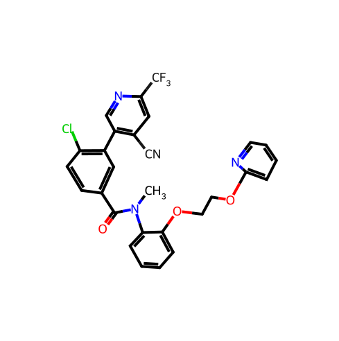 CN(C(=O)c1ccc(Cl)c(-c2cnc(C(F)(F)F)cc2C#N)c1)c1ccccc1OCCOc1ccccn1